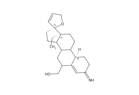 CC[C@]12CCC3C(CC(CO)C4=CC(=N)CC[C@@H]43)C1CC[C@@]21C=CCO1